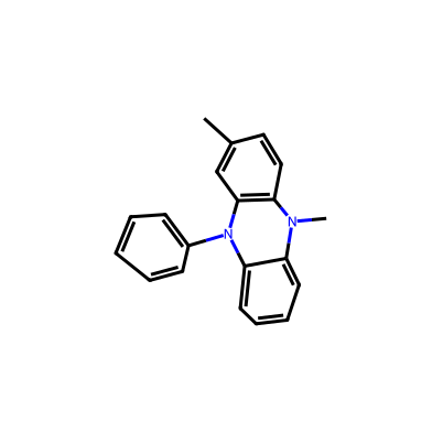 Cc1ccc2c(c1)N(c1ccccc1)c1ccccc1N2C